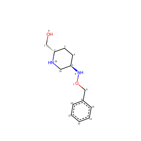 OC[C@@H]1CC[C@@H](NOCc2ccccc2)CN1